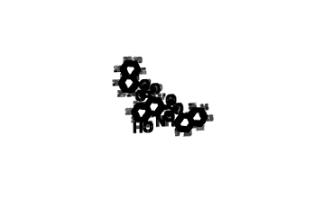 Nc1c(S(=O)(=O)Oc2cccc3ccccc23)cc(S(=O)(=O)Oc2cccc3ccccc23)c2cccc(O)c12